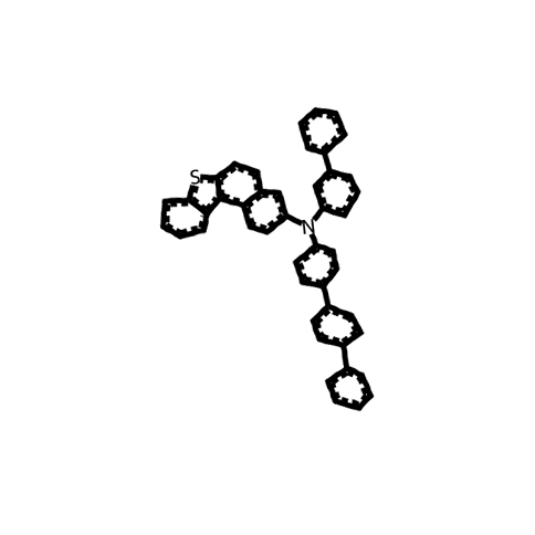 c1ccc(-c2ccc(-c3ccc(N(c4cccc(-c5ccccc5)c4)c4ccc5c(ccc6sc7ccccc7c65)c4)cc3)cc2)cc1